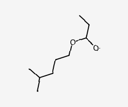 CCC([O])OCCCC(C)C